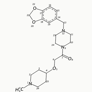 CN1CCC(OCC(=O)N2CCN(Cc3ccc4c(c3)OCO4)CC2)CC1